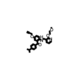 C#CCOc1ccc(NCc2cccnc2OCCOC)c(C(=O)c2ccc(C(C)C)cc2)c1